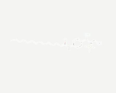 CCCCCCCCCCCCCC(=O)Nc1ccc(C(O)[C@@H](CO)[N+](C)(C)C)cc1